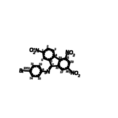 O=[N+]([O-])c1ccc2c(c1)/C(=N\c1ccc(Br)cc1)c1cc([N+](=O)[O-])cc([N+](=O)[O-])c1-2